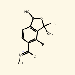 CC1(C)OB(O)c2ccc(/C(Cl)=N/O)c(F)c21